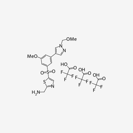 COCn1cc(-c2cc(OC)cc(S(=O)(=O)c3cnc(CN)s3)c2)cn1.O=C(O)C(F)(F)F.O=C(O)C(F)(F)F.O=C(O)C(F)(F)F